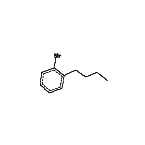 CCCCc1cccc[c]1[Sb]